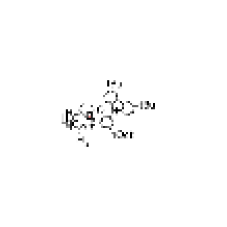 CCCCCCCCc1cc(B2OC(C)(C)C(C)(C)O2)c(OC2CCCCO2)c(-n2c3ccc(C(C)(C)C)cc3c3cc(C(C)(C)C)ccc32)c1